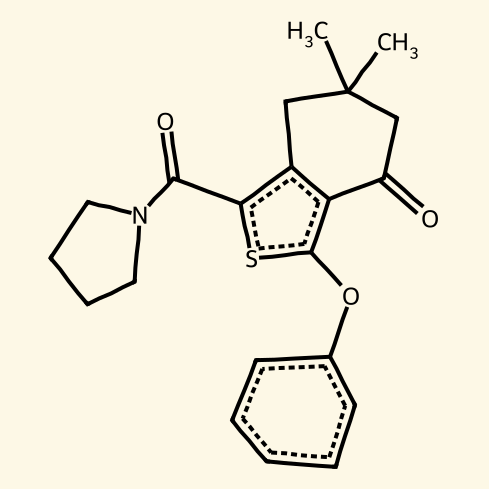 CC1(C)CC(=O)c2c(Oc3ccccc3)sc(C(=O)N3CCCC3)c2C1